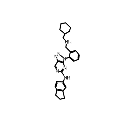 c1ccc(-n2nnc3cnc(Nc4ccc5c(c4)CCC5)nc32)c(CNCC2CCCCC2)c1